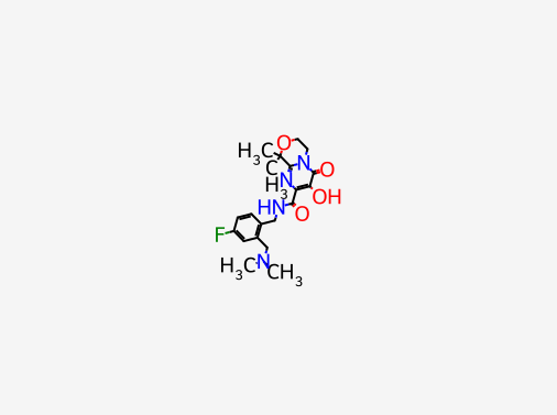 CN(C)Cc1cc(F)ccc1CNC(=O)c1nc2n(c(=O)c1O)CCOC2(C)C